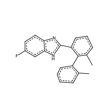 Cc1ccccc1-c1c(C)cccc1-c1nc2ccc(F)cc2[nH]1